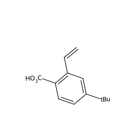 C=Cc1cc(C(C)(C)C)ccc1C(=O)O